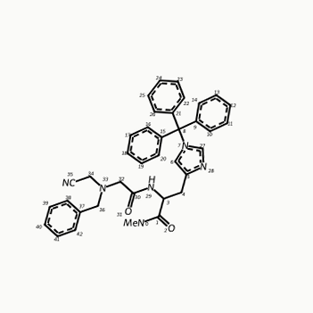 CNC(=O)C(Cc1cn(C(c2ccccc2)(c2ccccc2)c2ccccc2)cn1)NC(=O)CN(CC#N)Cc1ccccc1